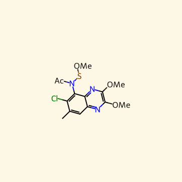 COSN(C(C)=O)c1c(Cl)c(C)cc2nc(OC)c(OC)nc12